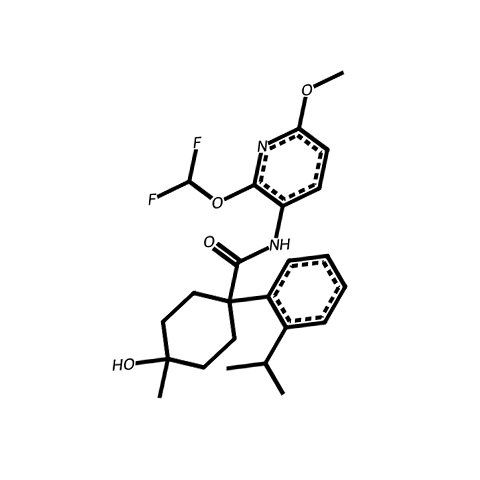 COc1ccc(NC(=O)C2(c3ccccc3C(C)C)CCC(C)(O)CC2)c(OC(F)F)n1